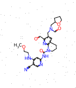 COCCNc1cc(NC(=O)N2CCCc3cc(CN(C=O)CC4CCCO4)c(C=O)nc32)ncc1C#N